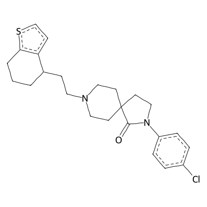 O=C1N(c2ccc(Cl)cc2)CCC12CCN(CCC1CCCc3sccc31)CC2